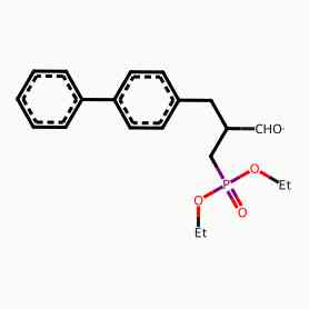 CCOP(=O)(CC([C]=O)Cc1ccc(-c2ccccc2)cc1)OCC